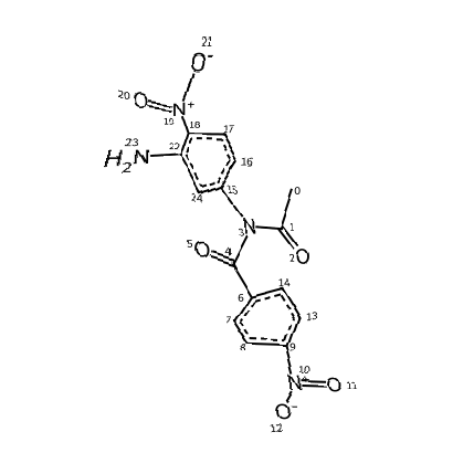 CC(=O)N(C(=O)c1ccc([N+](=O)[O-])cc1)c1ccc([N+](=O)[O-])c(N)c1